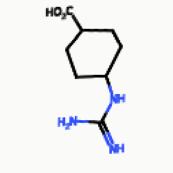 N=C(N)NC1CCC(C(=O)O)CC1